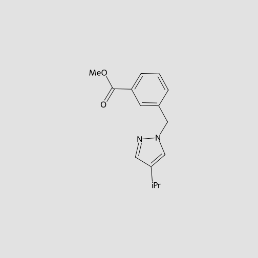 COC(=O)c1cccc(Cn2cc(C(C)C)cn2)c1